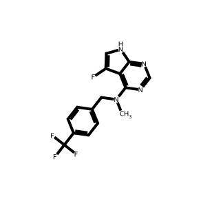 CN(Cc1ccc(C(F)(F)F)cc1)c1ncnc2[nH]cc(F)c12